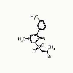 C/C(Br)=C\S(=O)(=O)c1cn(C)cc(-c2cccc(C)c2)c1=S